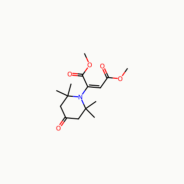 COC(=O)C=C(C(=O)OC)N1C(C)(C)CC(=O)CC1(C)C